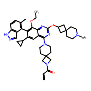 C=CC(=O)N1CC2(CCN(c3nc(OC4CC5(CCN(CCC)CC5)C4)nc4c(OCC(F)(F)F)c(-c5c(C)ccc6[nH]ncc56)c(C5CC5)cc34)CC2)C1